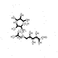 CC(N)C(=O)O.CC(O)C(N)C(=O)O.O=C[C@H](O)[C@@H](O)[C@H](O)[C@H](O)CO.OCC(O)CO